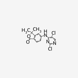 CC1(C)OC(=O)c2ccc(Nc3nc(Cl)ncc3Cl)cc21